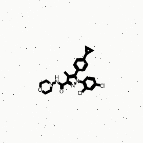 Cc1c(C(=O)NN2CCOCC2)nn(-c2ccc(Cl)cc2Cl)c1-c1ccc(C2CC2)cc1